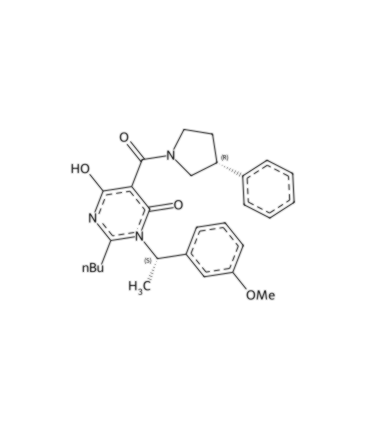 CCCCc1nc(O)c(C(=O)N2CC[C@H](c3ccccc3)C2)c(=O)n1[C@@H](C)c1cccc(OC)c1